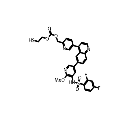 COc1ncc(-c2ccc3nccc(-c4ccc(COC(=O)OCCS)nc4)c3c2)cc1NS(=O)(=O)c1ccc(F)cc1F